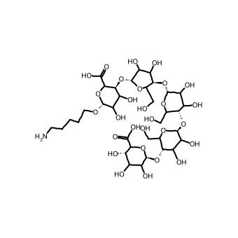 NCCCCCO[C@@H]1OC(C(=O)O)[C@@H](O[C@H]2OC(CO)[C@H](O[C@H]3OC(CO)[C@@H](O[C@@H]4OC(CO)[C@@H](O[C@@H]5OC(C(=O)O)[C@@H](O)C(O)C5O)C(O)C4O)C(O)C3O)C(O)C2O)C(O)C1O